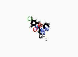 Cc1cc(Cl)cc2c1[N+]([O-])=C(c1cc(C(F)(F)F)nn1-c1ccccn1)OC2